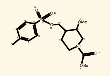 COC1CN(C(=O)OCC(C)C)CCC1COS(=O)(=O)c1ccc(C)cc1